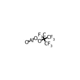 [O]=[Al][O]OC(C(F)(F)F)(C(F)(F)F)C(F)(F)F